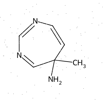 CC1(N)C=CN=CN=C1